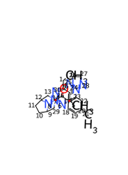 CCc1cc(C)nc(N2C3CCC2CN(C(=O)c2ccc(C)cc2-n2nccn2)C3)n1